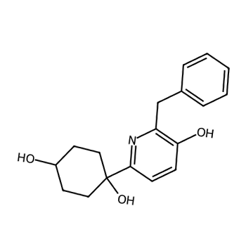 Oc1ccc(C2(O)CCC(O)CC2)nc1Cc1ccccc1